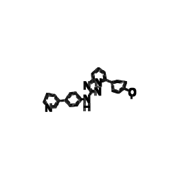 COc1ccc(-c2cccc3nc(Nc4ccc(-c5cccnc5)cc4)nn23)cc1